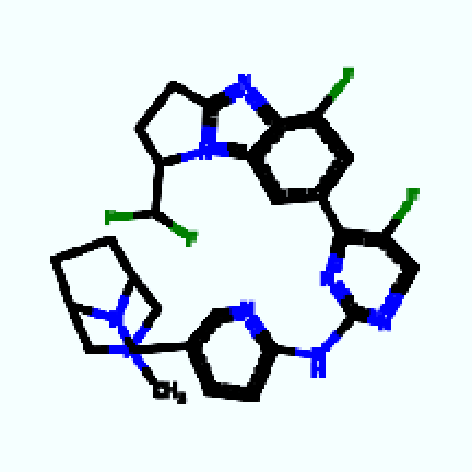 CN1CC2CCC(C1)N2Cc1ccc(Nc2ncc(F)c(-c3cc(F)c4nc5n(c4c3)C(C(F)F)CC5)n2)nc1